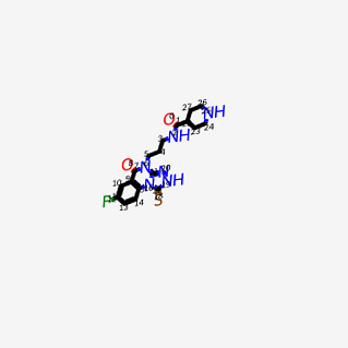 O=C(NCCCn1c(=O)c2cc(F)ccc2n2c(=S)[nH]nc12)C1CCNCC1